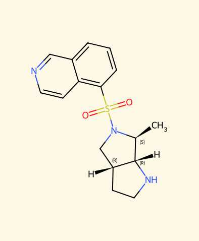 C[C@H]1[C@@H]2NCC[C@@H]2CN1S(=O)(=O)c1cccc2cnccc12